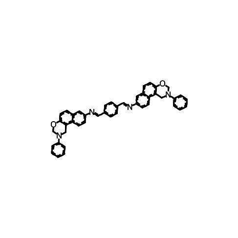 C(=Nc1ccc2c3c(ccc2c1)OCN(c1ccccc1)C3)c1ccc(C=Nc2ccc3c4c(ccc3c2)OCN(c2ccccc2)C4)cc1